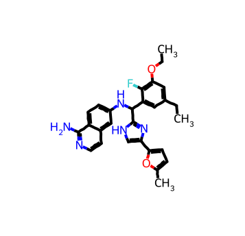 CCOc1cc(CC)cc(C(Nc2ccc3c(N)nccc3c2)c2nc(-c3ccc(C)o3)c[nH]2)c1F